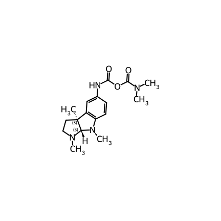 CN(C)C(=O)OC(=O)Nc1ccc2c(c1)[C@]1(C)CCN(C)[C@H]1N2C